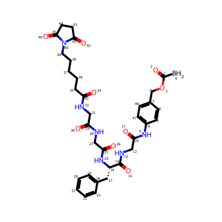 BC(=O)OCc1ccc(NC(=O)CNC(=O)[C@H](Cc2ccccc2)NC(=O)CNC(=O)CNC(=O)CCCCCN2C(=O)CCC2=O)cc1